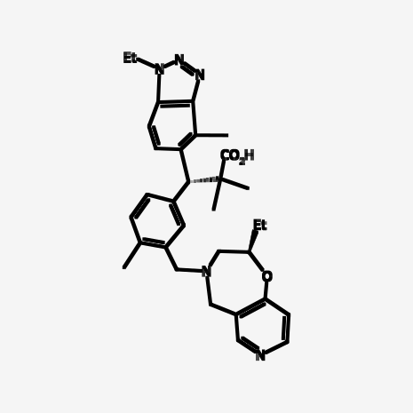 CC[C@@H]1CN(Cc2cc([C@H](c3ccc4c(nnn4CC)c3C)C(C)(C)C(=O)O)ccc2C)Cc2cnccc2O1